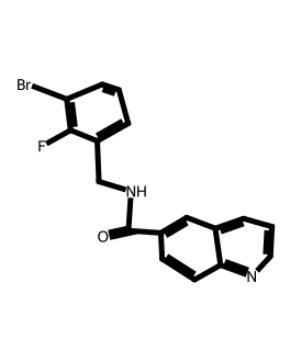 O=C(NCc1cccc(Br)c1F)c1ccc2ncccc2c1